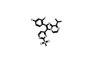 CC(C)c1nccn2c(-c3ccnc(S(C)(=O)=O)n3)c(-c3ccc(F)cc3F)nc12